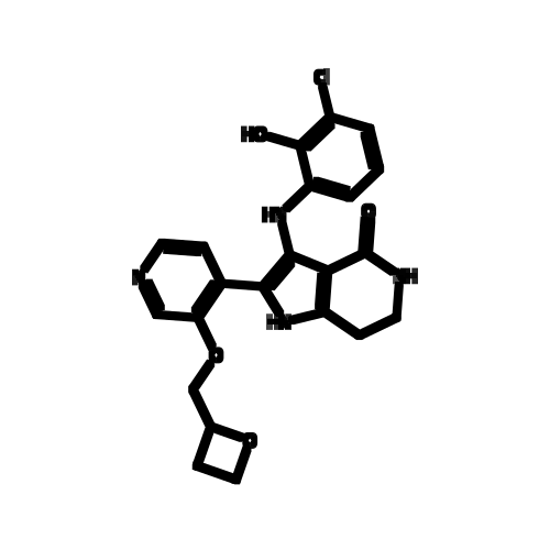 O=C1NCCc2[nH]c(-c3ccncc3OCC3CCO3)c(Nc3cccc(Cl)c3O)c21